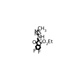 CCOC(=O)/C(=C\Nc1nnc(C)s1)C(=O)c1cc(F)c(F)cc1F